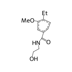 CCc1ccc(C(=O)NCCO)cc1OC